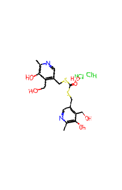 Cc1ncc(CSC(=O)SCc2cnc(C)c(O)c2CO)c(CO)c1O.Cl.Cl.O